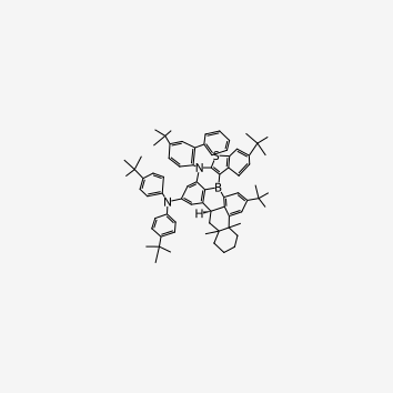 CC(C)(C)c1ccc(N(c2ccc(C(C)(C)C)cc2)c2cc3c4c(c2)N(c2ccc(C(C)(C)C)cc2-c2ccccc2)c2sc5cc(C(C)(C)C)ccc5c2B4c2cc(C(C)(C)C)cc4c2[C@@H]3CC2(C)CCCCC42C)cc1